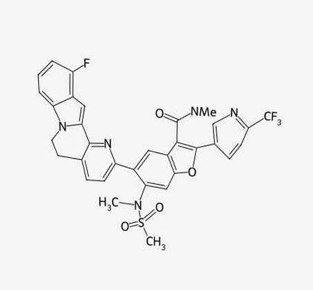 CNC(=O)c1c(-c2ccc(C(F)(F)F)nc2)oc2cc(N(C)S(C)(=O)=O)c(-c3ccc4c(n3)-c3cc5c(F)cccc5n3CC4)cc12